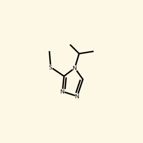 CSc1nncn1C(C)C